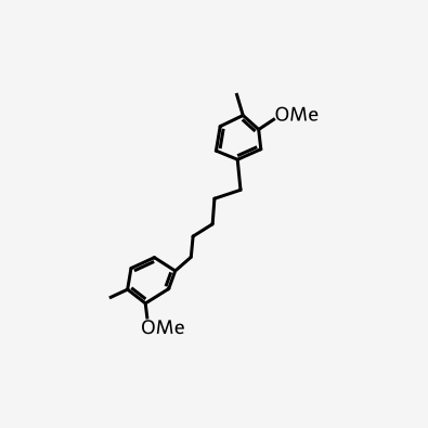 COc1cc(CCCCCc2ccc(C)c(OC)c2)ccc1C